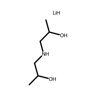 CC(O)CNCC(C)O.[LiH]